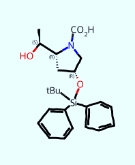 C[C@H](O)[C@H]1C[C@@H](O[Si](c2ccccc2)(c2ccccc2)C(C)(C)C)CN1C(=O)O